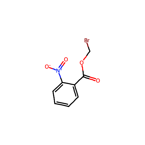 O=C(OCBr)c1ccccc1[N+](=O)[O-]